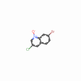 [O-][n+]1cc(Cl)cc2ccc(Br)cc21